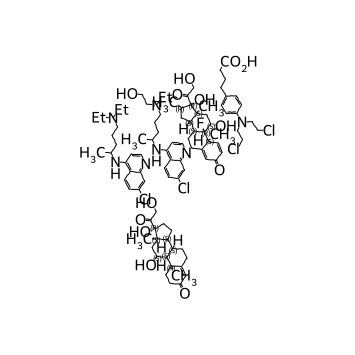 CCN(CC)CCCC(C)Nc1ccnc2cc(Cl)ccc12.CCN(CCO)CCCC(C)Nc1ccnc2cc(Cl)ccc12.C[C@@H]1C[C@H]2[C@@H]3CCC4=CC(=O)C=C[C@]4(C)[C@@]3(F)[C@@H](O)C[C@]2(C)[C@@]1(O)C(=O)CO.C[C@]12CCC(=O)C=C1CC[C@@H]1[C@@H]2[C@@H](O)C[C@@]2(C)[C@H]1CC[C@]2(O)C(=O)CO.O=C(O)CCCc1ccc(N(CCCl)CCCl)cc1